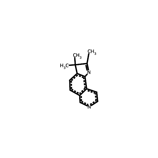 CC1=Nc2c(ccc3cnccc23)C1(C)C